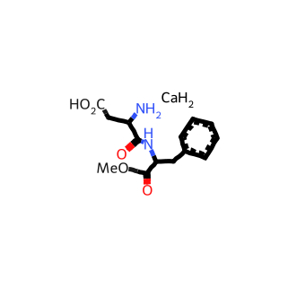 COC(=O)C(Cc1ccccc1)NC(=O)C(N)CC(=O)O.[CaH2]